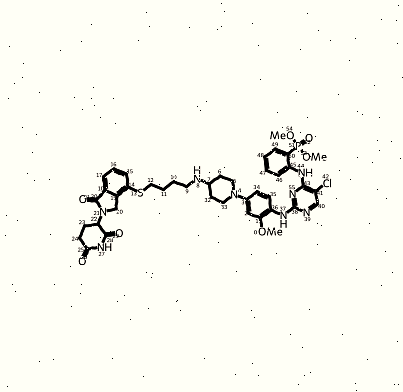 COc1cc(N2CCC(NCCCCSc3cccc4c3CN(C3CCC(=O)NC3=O)C4=O)CC2)ccc1Nc1ncc(Cl)c(Nc2ccccc2P(=O)(OC)OC)n1